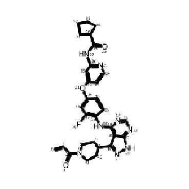 C=CC(=O)N1CCC(c2n[nH]c3ncnc(Nc4ccc(Oc5ccnc(NC(=O)C6CCCC6)c5)cc4F)c23)CC1